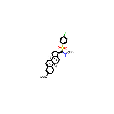 COC1=CC2=CC[C@@H]3[C@H](CC[C@]4(C)C(=C(NC=O)S(=O)(=O)c5ccc(Cl)cc5)CC[C@@H]34)[C@@]2(C)CC1